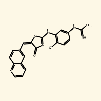 CC(=N)Nc1ccc(Cl)c(NC2=NC(=O)C(=Cc3ccc4ncccc4c3)S2)c1